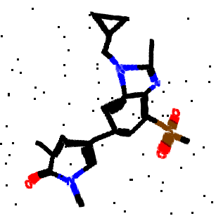 Cc1cc(-c2cc(S(C)(=O)=O)c3nc(C)n(CC4CC4)c3c2)cn(C)c1=O